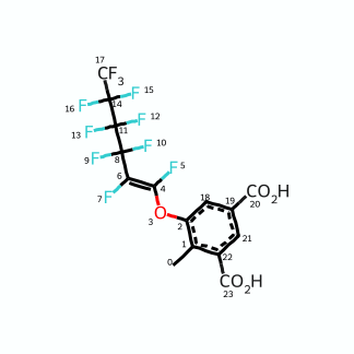 Cc1c(OC(F)=C(F)C(F)(F)C(F)(F)C(F)(F)C(F)(F)F)cc(C(=O)O)cc1C(=O)O